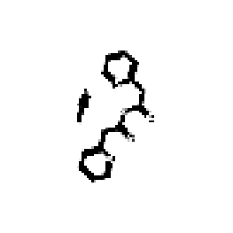 CC#N.O=C(Cc1ccccn1)OC(=O)Cc1ccccn1